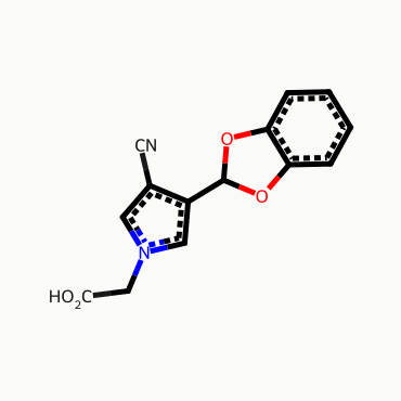 N#Cc1cn(CC(=O)O)cc1C1Oc2ccccc2O1